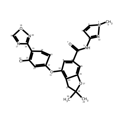 Cn1ccc(NC(=O)c2cc(Oc3ccc(-c4ncon4)c(Cl)c3)c3c(c2)OC(C)(C)C3)n1